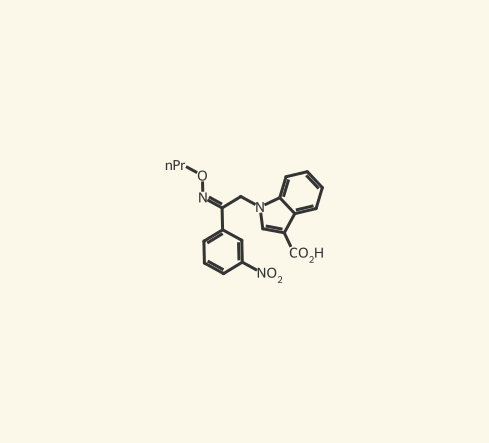 CCCO/N=C(\Cn1cc(C(=O)O)c2ccccc21)c1cccc([N+](=O)[O-])c1